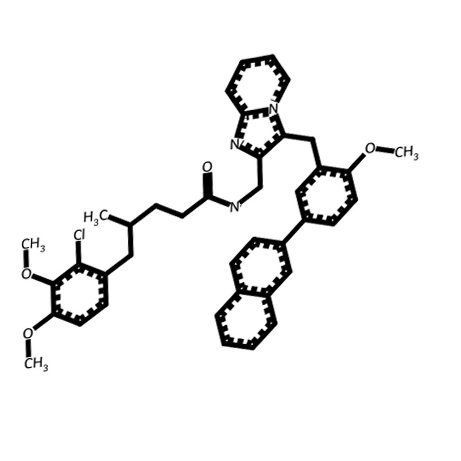 COc1ccc(-c2ccc3ccccc3c2)cc1Cc1c(C[N]C(=O)CCC(C)Cc2ccc(OC)c(OC)c2Cl)nc2ccccn12